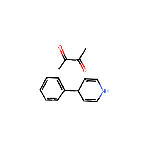 C1=CC(c2ccccc2)C=CN1.CC(=O)C(C)=O